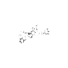 C=CC(=O)Nc1cc2c(Nc3ccc(F)c(-c4ccccc4F)c3)ncnc2cc1OCCCN1CCOCC1